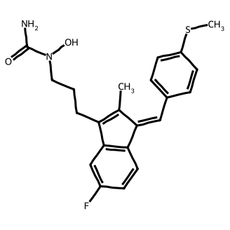 CSc1ccc(/C=C2\C(C)=C(CCCN(O)C(N)=O)c3cc(F)ccc32)cc1